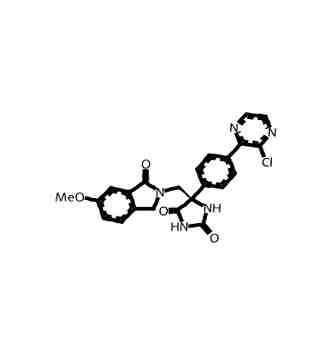 COc1ccc2c(c1)C(=O)N(C[C@@]1(c3ccc(-c4nccnc4Cl)cc3)NC(=O)NC1=O)C2